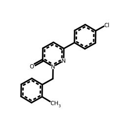 Cc1ccccc1Cn1nc(-c2ccc(Cl)cc2)ccc1=O